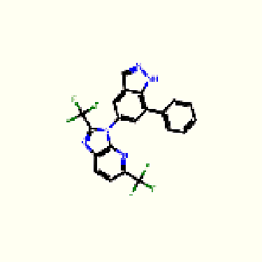 FC(F)(F)c1ccc2nc(C(F)(F)F)n(-c3cc(-c4ccccc4)c4[nH]ncc4c3)c2n1